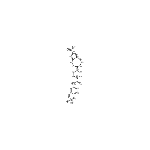 O=C(Nc1ccc(OC(F)(F)F)cc1)N1CCC(N2CCOc3nc([N+](=O)[O-])cn3CC2)CC1